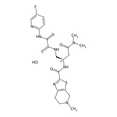 CN1CCc2nc(C(=O)N[C@@H](CNC(=S)C(=O)Nc3ccc(F)cn3)CC(=O)N(C)C)sc2C1.Cl